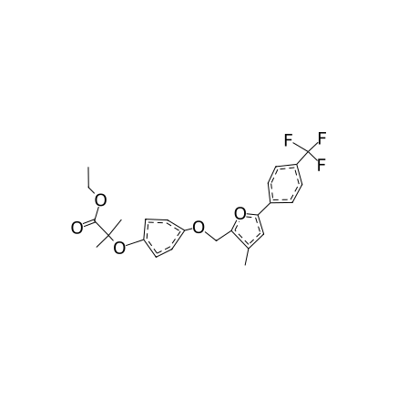 CCOC(=O)C(C)(C)Oc1ccc(OCc2oc(-c3ccc(C(F)(F)F)cc3)cc2C)cc1